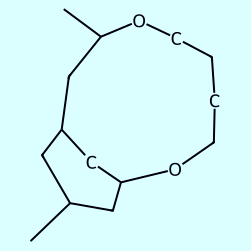 CC1CC2CC(C)OCCCCOC(C1)C2